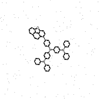 c1ccc(N(c2ccccc2)c2ccc(N(c3ccc(-c4ccc5oc6cccc7ccc4c5c76)cc3)c3ccc(N(c4ccccc4)c4ccccc4)cc3)cc2)cc1